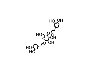 O=C(C=Cc1ccc(O)c(O)c1)O[C@@H]1C(CO)O[C@@H](OCCc2ccc(O)c(O)c2)[C@@H](O)C1O